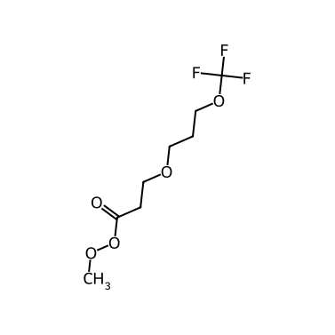 COOC(=O)CCOCCCOC(F)(F)F